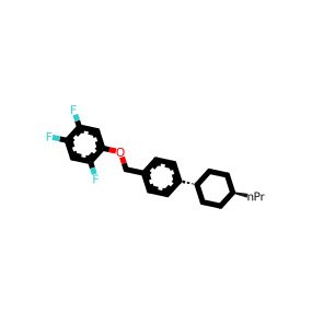 CCC[C@H]1CC[C@H](c2ccc(COc3cc(F)c(F)cc3F)cc2)CC1